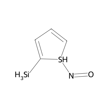 O=N[SH]1C=CC=C1[SiH3]